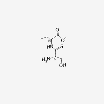 CC[C@@H](NC(=S)[C@@H](N)CO)C(=O)OC